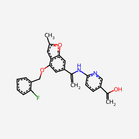 C=C(O)c1ccc(NC(=C)c2cc(OCc3ccccc3F)c3cc(C)oc3c2)nc1